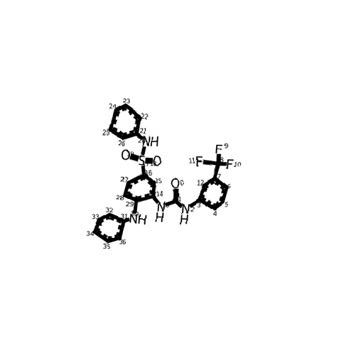 O=C(Nc1cccc(C(F)(F)F)c1)Nc1cc(S(=O)(=O)Nc2ccccc2)ccc1Nc1ccccc1